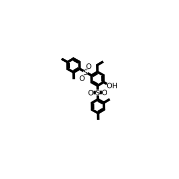 CCc1cc(O)c(S(=O)(=O)c2ccc(C)cc2C)cc1S(=O)(=O)c1ccc(C)cc1C